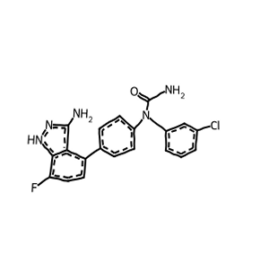 NC(=O)N(c1ccc(-c2ccc(F)c3[nH]nc(N)c23)cc1)c1cccc(Cl)c1